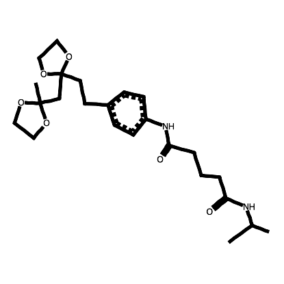 CC(C)NC(=O)CCCC(=O)Nc1ccc(CCC2(CC3(C)OCCO3)OCCO2)cc1